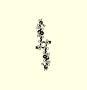 CC(C)(C)OC(=O)N1CCN(C(=O)CCC(=O)Nc2cccc3c(C(=O)NCC(=O)N4CC(F)(F)C[C@H]4C#N)ccnc23)CCN(C(=O)OC(C)(C)C)CCN(C(=O)CCC(=O)Nc2cccc3c(C(=O)NCC(=O)N4CC(F)(F)C[C@H]4C#N)ccnc23)CC1